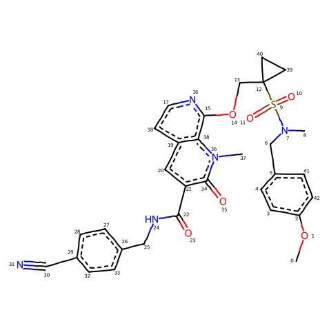 COc1ccc(CN(C)S(=O)(=O)C2(COc3nccc4cc(C(=O)NCc5ccc(C#N)cc5)c(=O)n(C)c34)CC2)cc1